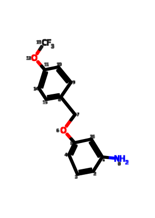 Nc1cccc(OCc2ccc(OC(F)(F)F)cc2)c1